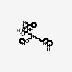 CC(=O)[C@H](CCN(CCCCc1ccc2c(n1)NCCC2)CCOc1ccccn1)Nc1c(-c2ccccc2)cnc[n+]1O